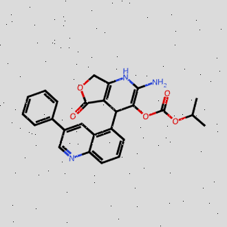 CC(C)OC(=O)OC1=C(N)NC2=C(C(=O)OC2)C1c1cccc2ncc(-c3ccccc3)cc12